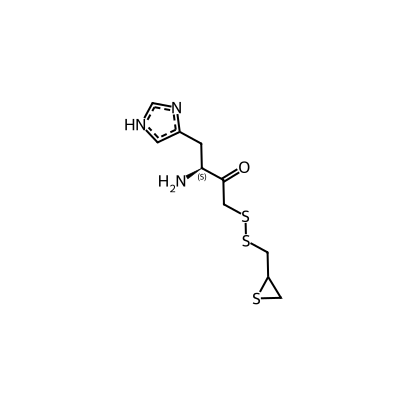 N[C@@H](Cc1c[nH]cn1)C(=O)CSSCC1CS1